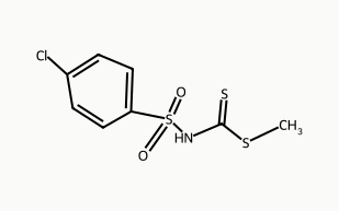 CSC(=S)NS(=O)(=O)c1ccc(Cl)cc1